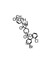 C[C@H](/C=C\S(C)(=O)=O)NC(=O)C1(F)CCN(S(=O)(=O)c2cnc(Br)cc2-c2ccccc2Cl)CC1